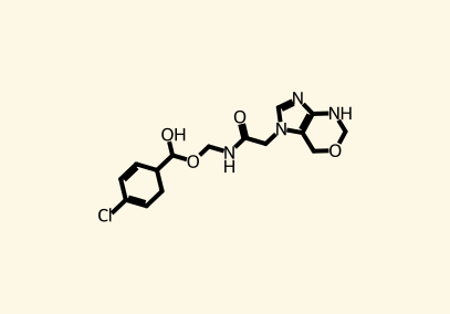 O=C(Cn1cnc2c1COCN2)NCOC(O)C1C=CC(Cl)=CC1